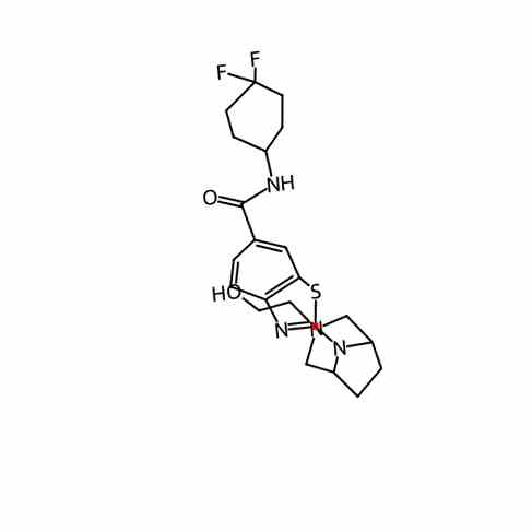 O=C(NC1CCC(F)(F)CC1)c1ccc2nc(N3C4CCC3CN(CCO)C4)sc2c1